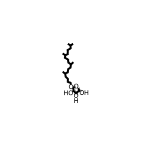 CC(C)CCCC(C)CCCC(C)CCCC(C)CCCCO[C@@H]1OC[C@@H](O)[C@H](O)[C@H]1O